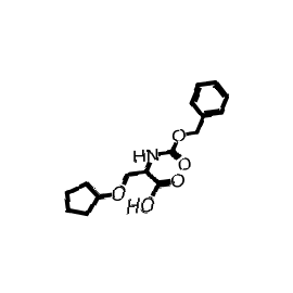 O=C(NC(COC1CCCC1)C(=O)O)OCc1ccccc1